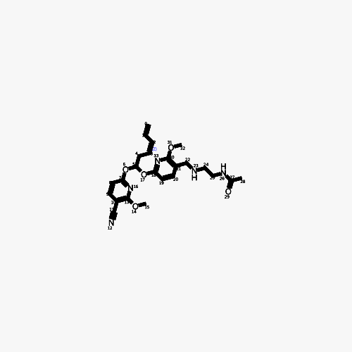 C=C/C=C\CC(Oc1ccc(C#N)c(OC)n1)Oc1ccc(CNCCNC(C)=O)c(OC)n1